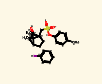 COc1ccc(OS(=O)(=O)CC23CCC(CC2=O)C3(C)C)cc1.Ic1ccccc1